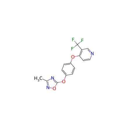 Cc1noc(Oc2ccc(Oc3ccncc3C(F)(F)F)cc2)n1